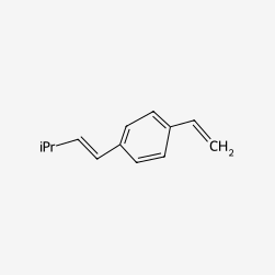 C=Cc1ccc(C=CC(C)C)cc1